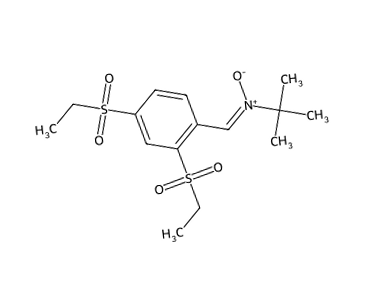 CCS(=O)(=O)c1ccc(C=[N+]([O-])C(C)(C)C)c(S(=O)(=O)CC)c1